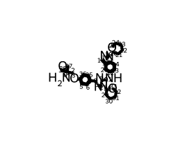 NC1(COc2ccc(-c3nc(Nc4ccc5c(cnn5C5CCCCO5)c4)n(C4CCCCO4)n3)cc2)COC1